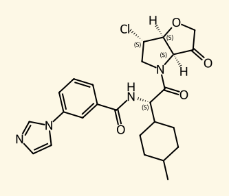 CC1CCC([C@H](NC(=O)c2cccc(-n3ccnc3)c2)C(=O)N2C[C@H](Cl)[C@H]3OCC(=O)[C@H]32)CC1